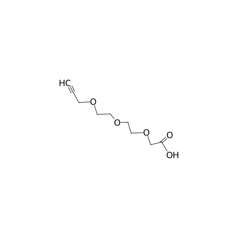 C#CCOCCOCCOCC(=O)O